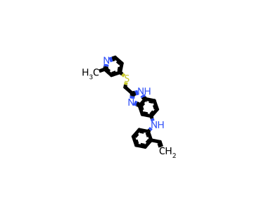 C=Cc1ccccc1Nc1ccc2[nH]c(CSc3ccnc(C)c3)nc2c1